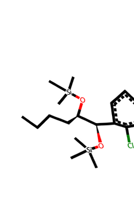 CCCC[C@@H](O[Si](C)(C)C)[C@H](O[Si](C)(C)C)c1ccccc1Cl